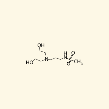 CS(=O)(=O)NCCCN(CCO)CCO